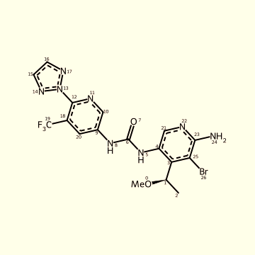 CO[C@H](C)c1c(NC(=O)Nc2cnc(-n3nccn3)c(C(F)(F)F)c2)cnc(N)c1Br